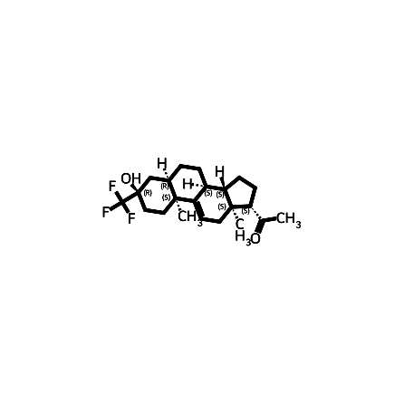 CC(=O)[C@H]1CC[C@H]2[C@@H]3CC[C@@H]4C[C@@](O)(C(F)(F)F)CC[C@]4(C)C3=CC[C@]12C